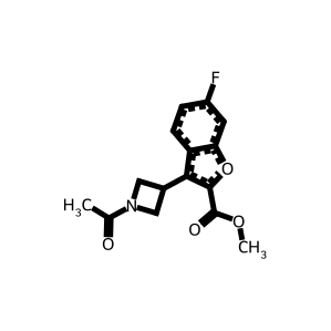 COC(=O)c1oc2cc(F)ccc2c1C1CN(C(C)=O)C1